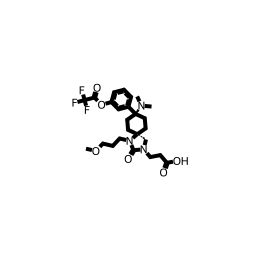 COCCCN1C(=O)N(CCC(=O)O)C[C@]12CC[C@](c1cccc(OC(=O)C(F)(F)F)c1)(N(C)C)CC2